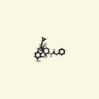 O=C(Cc1ccccc1)N[C@@H]1CC[C@@]2(O)[C@H]3Cc4ccc(O)c5c4[C@@]2(CC[N+]3([O-])CC2CC2)[C@H]1O5